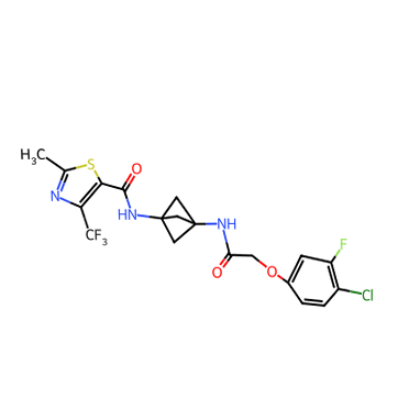 Cc1nc(C(F)(F)F)c(C(=O)NC23CC(NC(=O)COc4ccc(Cl)c(F)c4)(C2)C3)s1